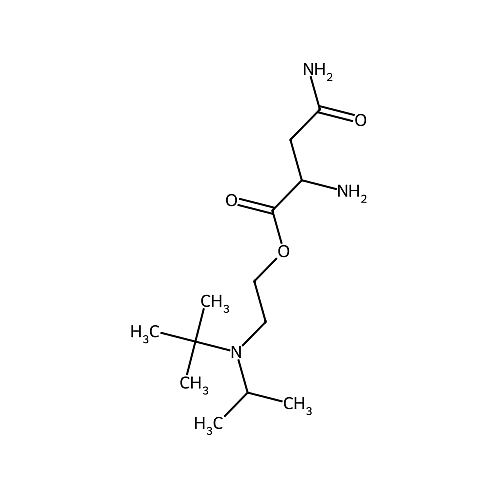 CC(C)N(CCOC(=O)C(N)CC(N)=O)C(C)(C)C